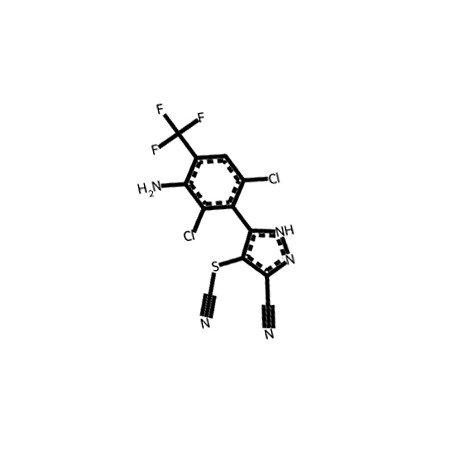 N#CSc1c(C#N)n[nH]c1-c1c(Cl)cc(C(F)(F)F)c(N)c1Cl